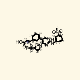 CS(=O)(=O)c1cccc(Nc2ncc(-c3cccc(/C=C/C(=O)O)c3)c(-n3ccc(C(F)(F)F)n3)n2)c1